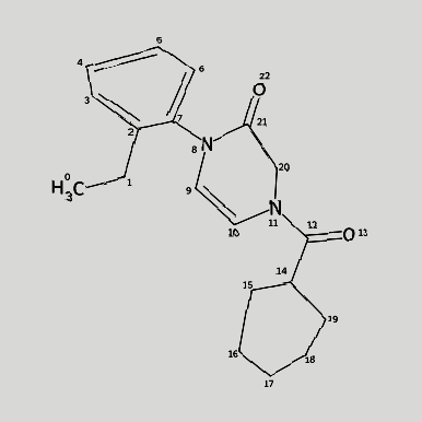 CCc1ccccc1N1C=CN(C(=O)C2CCCCC2)CC1=O